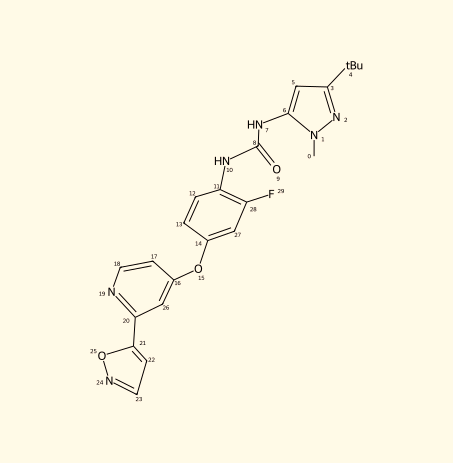 Cn1nc(C(C)(C)C)cc1NC(=O)Nc1ccc(Oc2ccnc(-c3ccno3)c2)cc1F